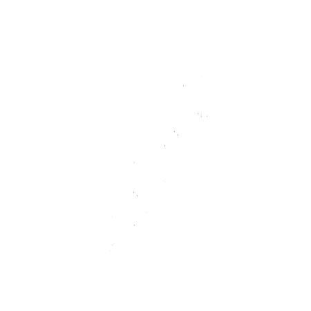 COC(OC)c1cn(-c2ccc(N3CC(CO)OC3=O)cc2F)cn1